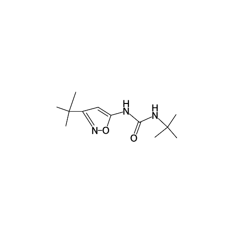 CC(C)(C)NC(=O)Nc1cc(C(C)(C)C)no1